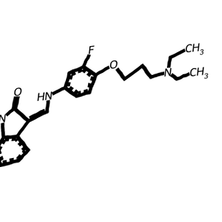 CCN(CC)CCCOc1ccc(NC=C2C(=O)Nc3ccccc32)cc1F